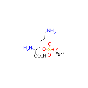 NCCCCC(N)C(=O)O.O=S(=O)([O-])[O-].[Fe+2]